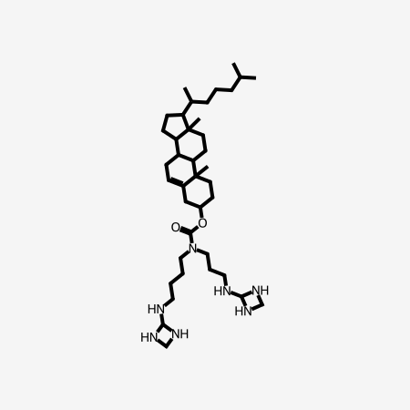 CC(C)CCCC(C)C1CCC2C3CC=C4CC(OC(=O)N(CCCCNC5NCN5)CCCNC5NCN5)CCC4(C)C3CCC12C